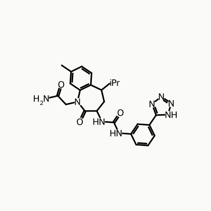 Cc1ccc2c(c1)N(CC(N)=O)C(=O)C(NC(=O)Nc1cccc(-c3nnn[nH]3)c1)CC2C(C)C